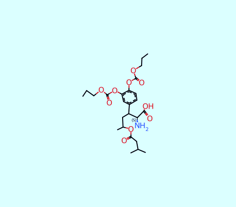 CCCOC(=O)Oc1ccc(C(CC(C)OC(=O)CC(C)C)[C@H](N)C(=O)O)cc1OC(=O)OCCC